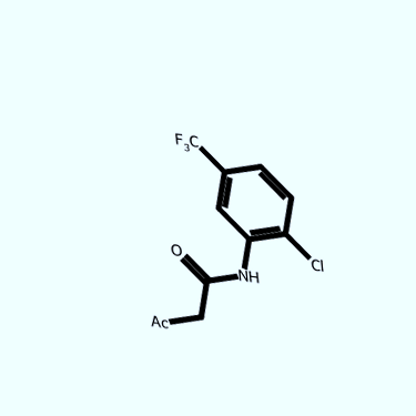 CC(=O)CC(=O)Nc1cc(C(F)(F)F)ccc1Cl